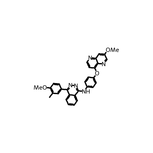 COc1cnc2c(Oc3ccc(Nc4nnc(-c5ccc(OC)c(C)c5)c5ccccc45)cc3)ccnc2c1